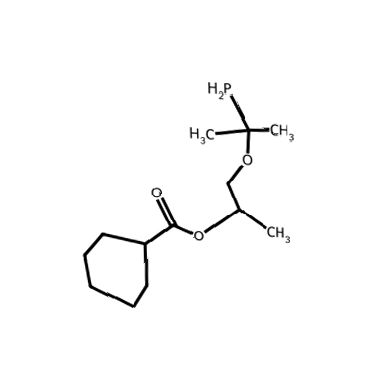 CC(COC(C)(C)P)OC(=O)C1CCCCC1